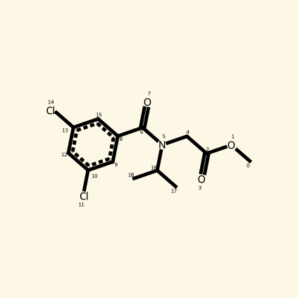 COC(=O)CN(C(=O)c1cc(Cl)cc(Cl)c1)C(C)C